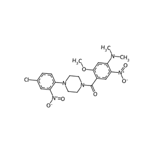 COc1cc(N(C)C)c([N+](=O)[O-])cc1C(=O)N1CCN(c2ccc(Cl)cc2[N+](=O)[O-])CC1